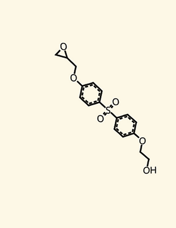 O=S(=O)(c1ccc(OCCO)cc1)c1ccc(OCC2CO2)cc1